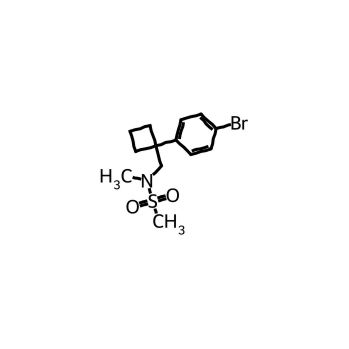 CN(CC1(c2ccc(Br)cc2)CCC1)S(C)(=O)=O